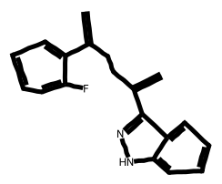 C=C(CCC(=C)c1n[nH]c2ccccc12)c1ccccc1F